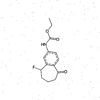 CCOC(=O)Nc1ccc2c(c1)C(F)CCCC2=O